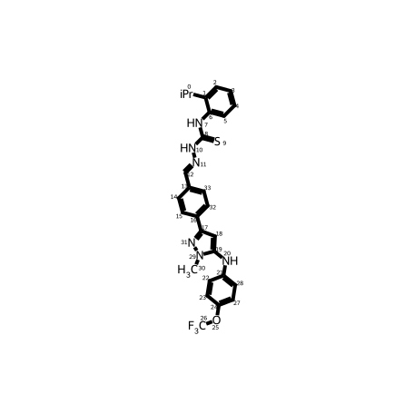 CC(C)c1ccccc1NC(=S)NN=Cc1ccc(-c2cc(Nc3ccc(OC(F)(F)F)cc3)n(C)n2)cc1